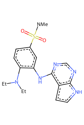 CCN(CC)c1ccc(S(=O)(=O)NC)cc1Nc1ncnc2[nH]ccc12